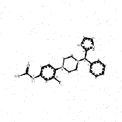 CCCC(=O)Nc1ccc(N2CCN(C(c3ccccc3)c3ncco3)CC2)c(F)c1